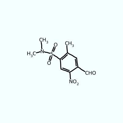 Cc1cc(C=O)c([N+](=O)[O-])cc1S(=O)(=O)N(C)C